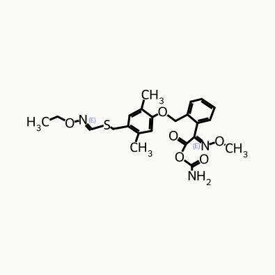 CCO/N=C/SCc1cc(C)c(OCc2ccccc2/C(=N\OC)C(=O)OC(N)=O)cc1C